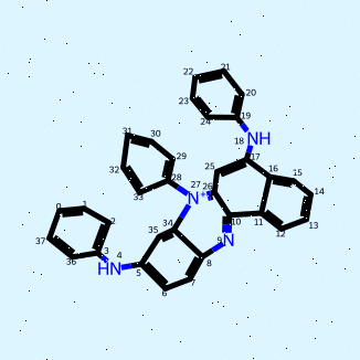 c1ccc(Nc2ccc3nc4c5ccccc5c(Nc5ccccc5)cc4[n+](-c4ccccc4)c3c2)cc1